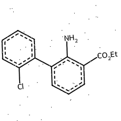 CCOC(=O)c1cccc(-c2ccccc2Cl)c1N